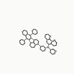 c1ccc(-c2c3c(c(-c4ccccc4)c4ccccc24)-c2ccc(-c4cccc(N(c5cccnc5)c5cc6cccnc6c6ncccc56)c4)c4cccc-3c24)cc1